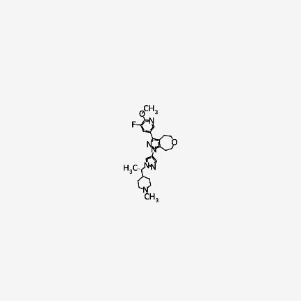 COc1ncc(-c2nn(-c3cnn([C@@H](C)C4CCN(C)CC4)c3)c3c2CCOCC3)cc1F